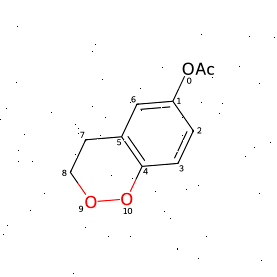 CC(=O)Oc1ccc2c(c1)CCOO2